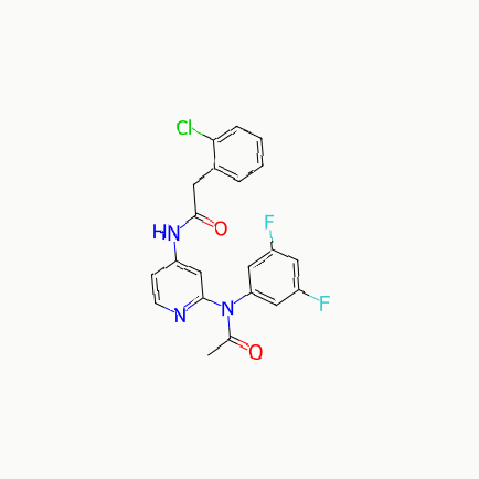 CC(=O)N(c1cc(F)cc(F)c1)c1cc(NC(=O)Cc2ccccc2Cl)ccn1